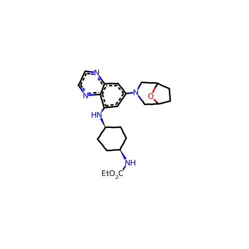 CCOC(=O)N[C@H]1CC[C@@H](Nc2cc(N3CC4CCC(C3)O4)cc3nccnc23)CC1